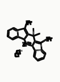 CC(C)C1=C2[CH]([Zr+2][CH]3C(=C(C(C)C)c4ccccc43)C2(C)C)c2ccccc21.[Cl-].[Cl-]